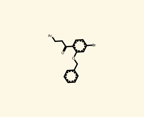 CC(=O)CCC(=O)c1ccc(Br)cc1OCc1ccccc1